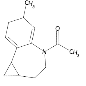 CC(=O)N1CCC2CC2C2=CCC(C)C=C21